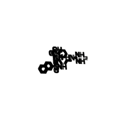 N=C(N)NCCC[C@H](NS(=O)(=O)c1ccc2ccccc2c1)C(=O)N1CCCCC1P(=O)(O)O